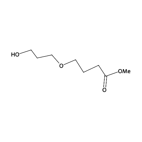 COC(=O)CCCOCCCO